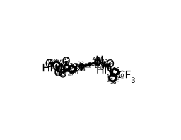 CC(C)(C(=O)Nc1ccc(C(F)(F)F)c2c1CCCC2)n1cc(C#CC2CN(c3ccc4c(c3)C(=O)N(C3CCC(=O)NC3=O)C4=O)C2)cn1